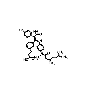 CN(C)CCN(C)CC(=O)N(C)c1ccc(N/C(=C2\C(=O)Nc3cc(Br)ccc32)c2cccc(CCC(=O)O)c2)cc1